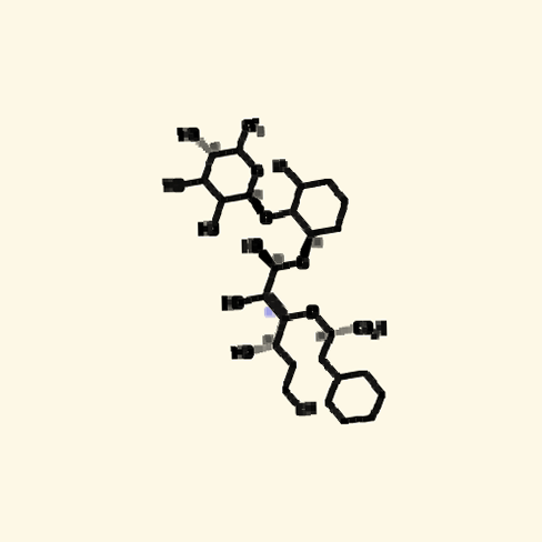 CCC1CCC[C@@H](O[C@H](O)/C(O)=C(\O[C@@H](CC2CCCCC2)C(=O)O)[C@@H](O)CCO)C1O[C@@H]1OC(C(F)(F)F)[C@@H](O)C(O)C1O